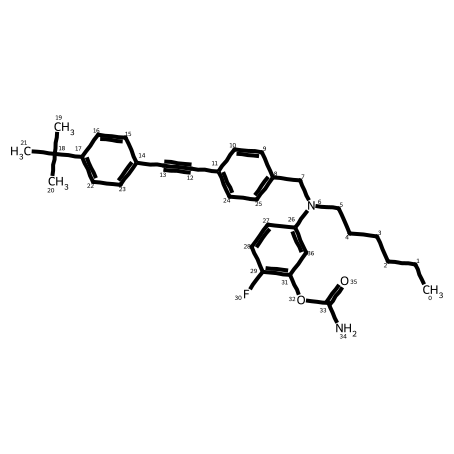 CCCCCCN(Cc1ccc(C#Cc2ccc(C(C)(C)C)cc2)cc1)c1ccc(F)c(OC(N)=O)c1